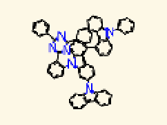 c1ccc(-c2nc(-c3ccccc3)nc(-c3ccccc3-n3c4cc(-n5c6ccccc6c6ccccc65)ccc4c4c(-c5cccc6c5c5ccccc5n6-c5ccccc5)cccc43)n2)cc1